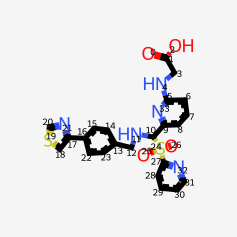 O=C(O)CNc1cccc(C(NCc2ccc(-c3cscn3)cc2)S(=O)(=O)c2ccccn2)n1